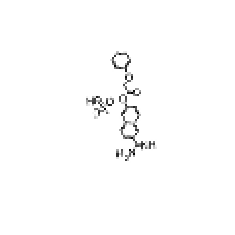 CS(=O)(=O)O.N=C(N)c1ccc2cc(OC(=O)COc3ccccc3)ccc2c1